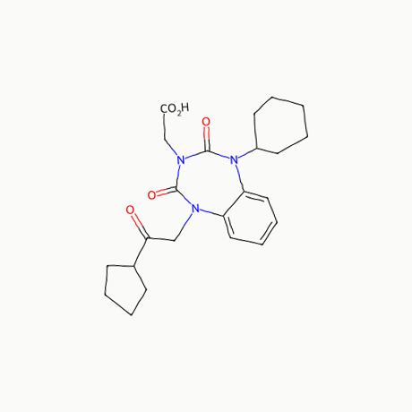 O=C(O)CN1C(=O)N(CC(=O)C2CCCC2)c2ccccc2N(C2CCCCC2)C1=O